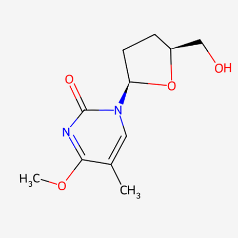 COc1nc(=O)n([C@H]2CC[C@@H](CO)O2)cc1C